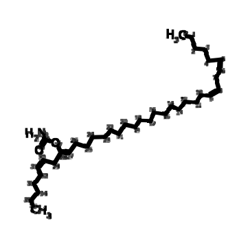 CCCCC/C=C\C/C=C\CCCCCCCCCCCCCCCCC/C=C(/C/C=C\CCCCC)OC(N)=O